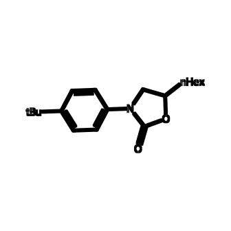 CCCCCCC1CN(c2ccc(C(C)(C)C)cc2)C(=O)O1